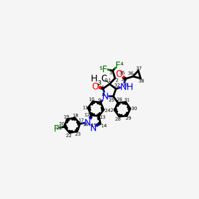 C[C@@]1(CC(F)F)C(=O)N(c2ccc3c(cnn3-c3ccc(F)cc3)c2)C(c2ccccc2)C1NC(=O)C1CC1